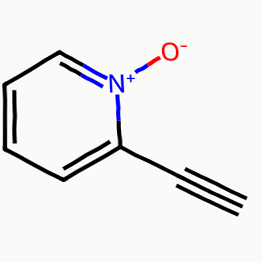 C#Cc1cccc[n+]1[O-]